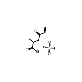 C=CC(=O)CC(C)C(=O)CC.O=S(=O)(F)F